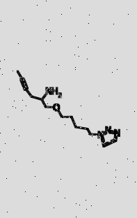 CC#CCC(N)COCCCCCn1ccnn1